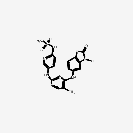 Cc1cnc(Nc2ccc(NS(C)(=O)=O)nc2)nc1Nc1ccc2oc(=O)n(C)c2c1